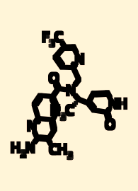 Cc1cc2cc(C(=O)N(Cc3ccc(C(F)(F)F)cn3)[C@@H](C)c3cc[nH]c(=O)c3)ccc2nc1N